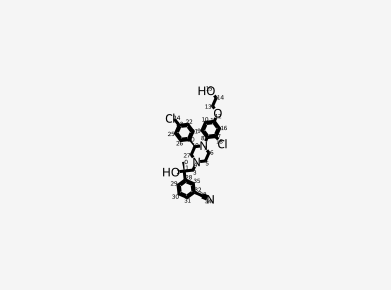 C[C@@](O)(CN1CCN(c2ccc(OCCO)cc2Cl)[C@H](c2ccc(Cl)cc2)C1)c1cccc(C#N)c1